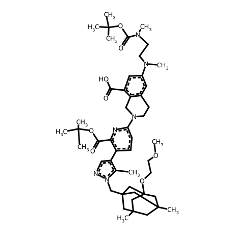 COCCOC12CC3(C)CC(C)(CC(Cn4ncc(-c5ccc(N6CCc7cc(N(C)CCN(C)C(=O)OC(C)(C)C)cc(C(=O)O)c7C6)nc5C(=O)OC(C)(C)C)c4C)(C3)C1)C2